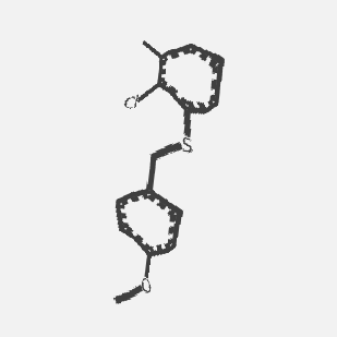 COc1ccc(CSc2cccc(C)c2Cl)cc1